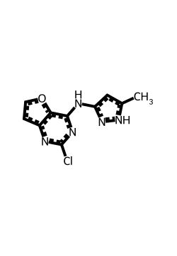 Cc1cc(Nc2nc(Cl)nc3ccoc23)n[nH]1